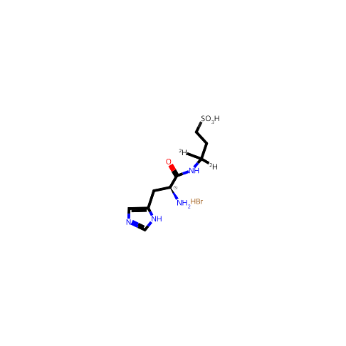 Br.[2H]C([2H])(CCS(=O)(=O)O)NC(=O)[C@@H](N)Cc1cnc[nH]1